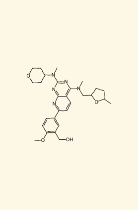 COc1ccc(-c2ccc3c(N(C)CC4CCC(C)O4)nc(N(C)C4CCOCC4)nc3n2)cc1CO